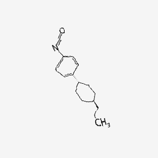 CCC[C@H]1CC[C@H](c2ccc(N=C=O)cc2)CC1